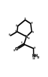 CC1CCCCN1C(=O)CN